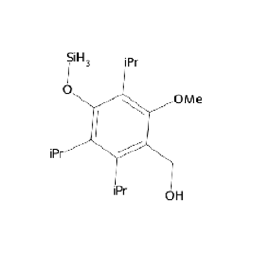 COc1c(CO)c(C(C)C)c(C(C)C)c(O[SiH3])c1C(C)C